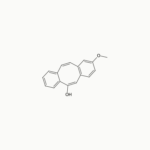 COc1ccc2c(c1)C=Cc1ccccc1C(O)=C2